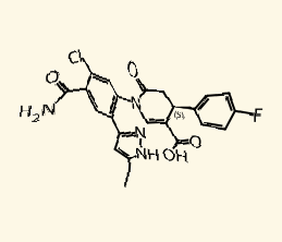 Cc1cc(-c2cc(C(N)=O)c(Cl)cc2N2C=C(C(=O)O)[C@H](c3ccc(F)cc3)CC2=O)n[nH]1